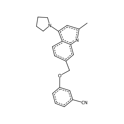 Cc1cc(N2CCCC2)c2ccc(COc3cccc(C#N)c3)cc2n1